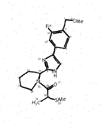 COCc1ccc(-c2c[nH]c(C3CCCCN3C(=O)C(C)SC)n2)cc1F